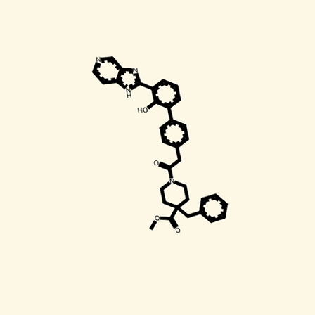 COC(=O)C1(Cc2ccccc2)CCN(C(=O)Cc2ccc(-c3cccc(-c4nc5cnccc5[nH]4)c3O)cc2)CC1